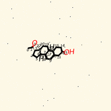 CC(=O)[C@H]1CC[C@H]2C3=CC=C4CC(O)CC[C@]4(C)[C@H]3CC[C@]12C